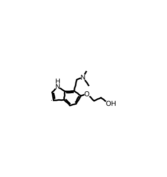 CN(C)Cc1c(OCCO)ccc2[c]c[nH]c12